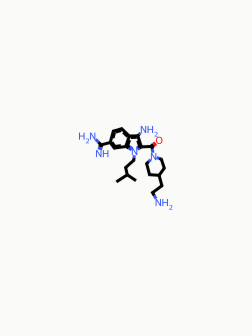 CC(C)CCn1c(C(=O)N2CCC(CCN)CC2)c(N)c2ccc(C(=N)N)cc21